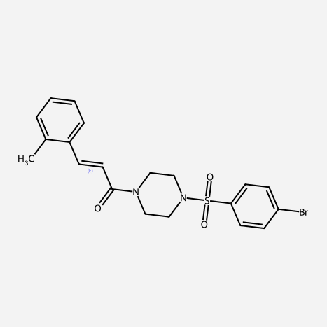 Cc1ccccc1/C=C/C(=O)N1CCN(S(=O)(=O)c2ccc(Br)cc2)CC1